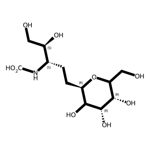 O=C(O)N[C@@H](CC[C@H]1OC(CO)[C@H](O)[C@H](O)C1O)[C@H](O)CO